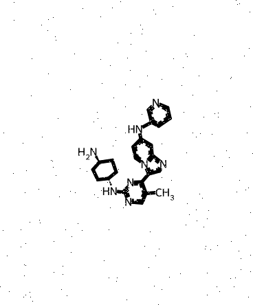 Cc1cnc(N[C@H]2CC[C@H](N)CC2)nc1-c1cnc2cc(Nc3cccnc3)ccn12